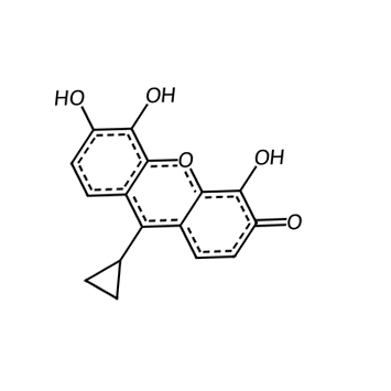 O=c1ccc2c(C3CC3)c3ccc(O)c(O)c3oc-2c1O